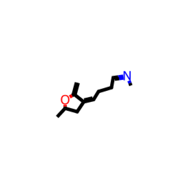 C=C1OC(C)C/C1=C/CC/C=N\C